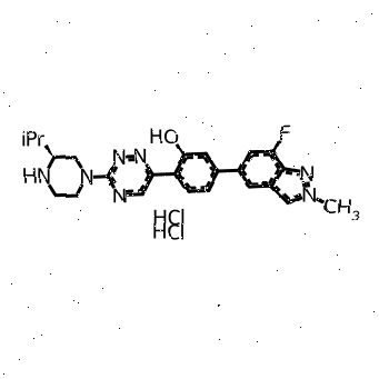 CC(C)[C@H]1CN(c2ncc(-c3ccc(-c4cc(F)c5nn(C)cc5c4)cc3O)nn2)CCN1.Cl.Cl